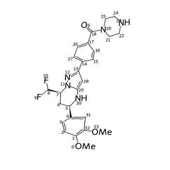 COc1ccc([C@H]2C[C@@H](C(F)F)n3nc(-c4ccc(C(=O)N5CCNCC5)cc4)cc3N2)cc1OC